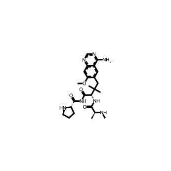 CN[C@@H](C)C(=O)N[C@H](C(=O)NC(=O)[C@@H]1CCCN1)C(C)(C)Cc1cc2c(N)ncnc2cc1OC